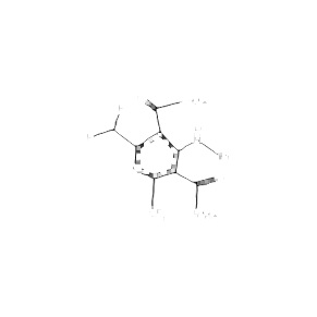 CNC(=O)c1c(C(F)(F)F)nc(C(F)F)c(C(=O)OC)c1NC(C)C